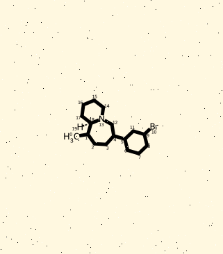 CC1CCC(C2CCCC(Br)C2)CN2CCCC[C@H]12